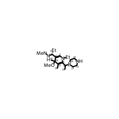 CC[C@@H](NNC)C1=CN(CC)C(C(C)N2CCNCC2)=C(C)C1(C)OC